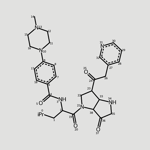 CC(C)CC(NC(=O)c1ccc(N2CCN(C)CC2)cc1)C(=O)N1CC(C(=O)Cc2cccnc2)C2NCC(=O)C21